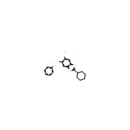 CCCCSc1cc2[nH]c(C3CCCCC3)nc2cc1NS(=O)(=O)c1ccccc1